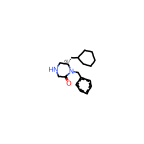 O=C1CNC[C@H](CC2CCCCC2)N1Cc1ccccc1